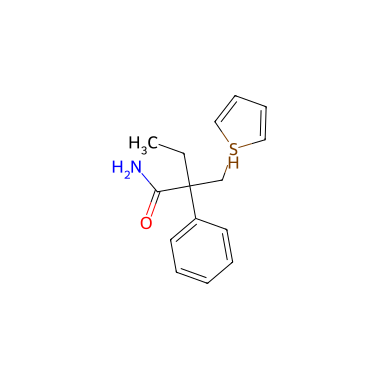 CCC(C[SH]1C=CC=C1)(C(N)=O)c1ccccc1